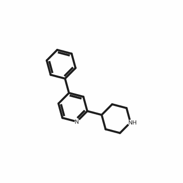 c1ccc(-c2ccnc(C3CCNCC3)c2)cc1